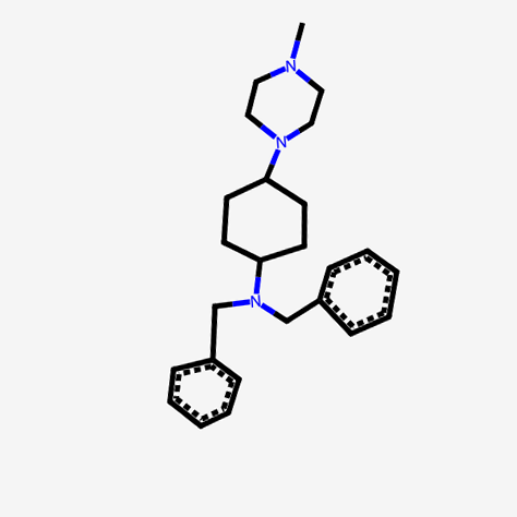 CN1CCN(C2CCC(N(Cc3ccccc3)Cc3ccccc3)CC2)CC1